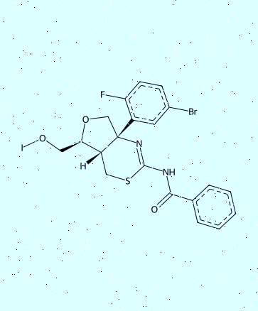 O=C(NC1=N[C@@]2(c3cc(Br)ccc3F)CO[C@H](COI)[C@H]2CS1)c1ccccc1